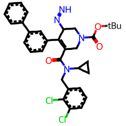 CC(C)(C)OC(=O)N1CC(C(=O)N(Cc2cccc(Cl)c2Cl)C2CC2)=C(c2cccc(-c3ccccc3)c2)C(N=N)C1